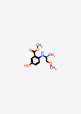 COC[C@H](C)Nc1ccc(O)cc1C(=O)OC